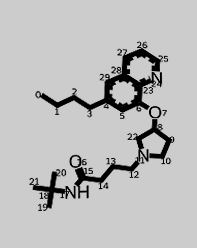 CCCCc1cc(OC2CCN(CCCC(=O)NC(C)(C)C)C2)c2ncccc2c1